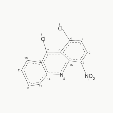 O=[N+]([O-])c1ccc(Cl)c2c(Cl)c3ccccc3nc12